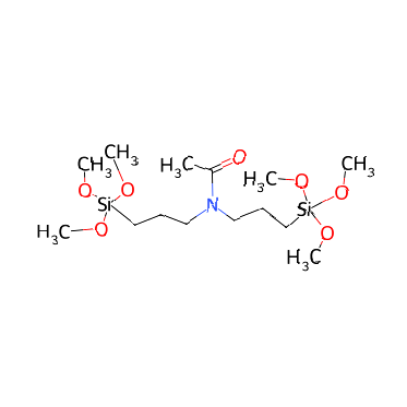 CO[Si](CCCN(CCC[Si](OC)(OC)OC)C(C)=O)(OC)OC